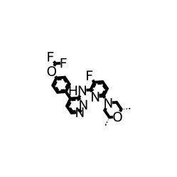 C[C@@H]1CN(c2ccc(F)c(Nc3nnccc3-c3ccc(OC(F)F)cc3)n2)C[C@H](C)O1